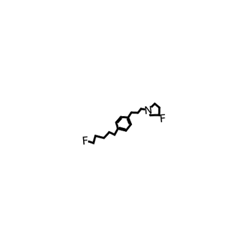 FCCCCCc1ccc(CCCN2CCC(F)C2)cc1